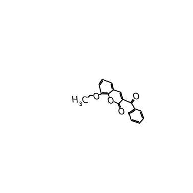 CCOc1cccc2cc(C(=O)c3ccccc3)c(=O)oc12